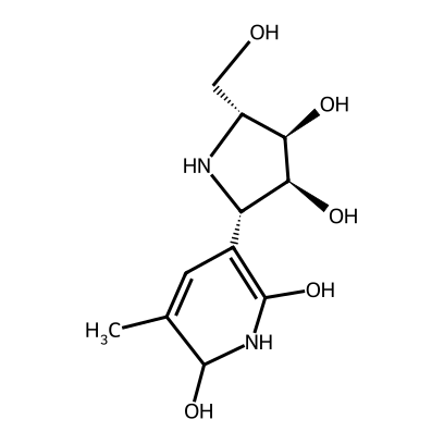 CC1=CC([C@@H]2N[C@H](CO)[C@@H](O)[C@H]2O)=C(O)NC1O